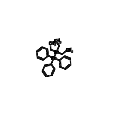 C[CH2][Sn]([CH2]C)([CH2]C)[Ge]([c]1ccccc1)([c]1ccccc1)[c]1ccccc1